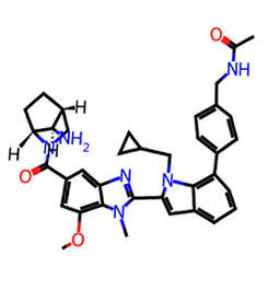 COc1cc(C(=O)N2C[C@H]3CC[C@@H]2[C@@H]3N)cc2nc(-c3cc4cccc(-c5ccc(CNC(C)=O)cc5)c4n3CC3CC3)n(C)c12